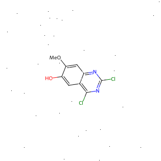 COc1cc2nc(Cl)nc(Cl)c2cc1O